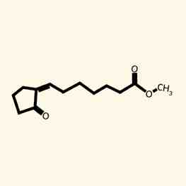 COC(=O)CCCCCC=C1CCCC1=O